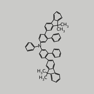 CC1(C)c2ccccc2-c2ccc(-c3ccc(N(c4ccccc4)c4ccc(-c5ccc6c(c5)C(C)(C)c5ccccc5-6)c(-c5ccccc5)c4)cc3-c3ccccc3)cc21